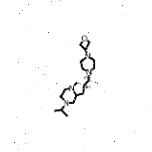 CC(C)N1CCN2C[C@H]([C@@H](C)N3CCN(C4COC4)CC3)CC2C1